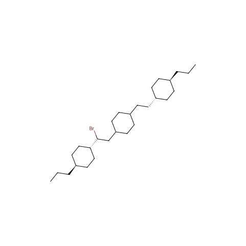 CCC[C@H]1CC[C@H](CCC2CCC(CC(Br)[C@H]3CC[C@H](CCC)CC3)CC2)CC1